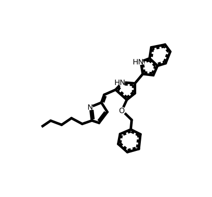 CCCCCC1=N/C(=C/c2[nH]c(-c3cc4ccccc4[nH]3)cc2OCc2ccccc2)C=C1